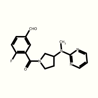 CN(c1ncccn1)C1CCN(C(=O)c2cc(C=O)ccc2F)C1